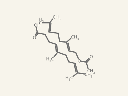 CC(=O)OC/C=C(\C)CCC=C(C)C.CC(C)=CCC/C(C)=C/CCC(=O)O